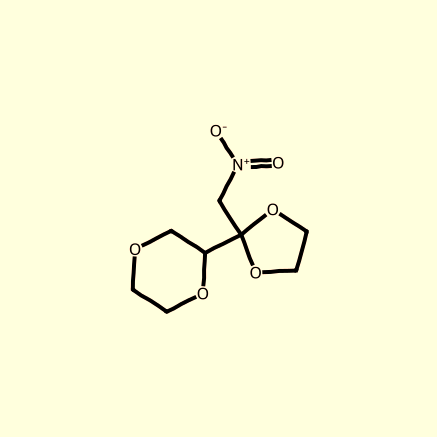 O=[N+]([O-])CC1(C2COCCO2)OCCO1